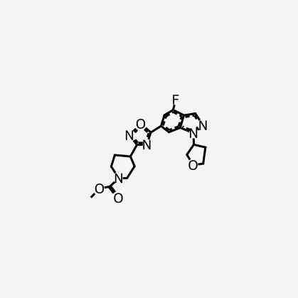 COC(=O)N1CCC(c2noc(-c3cc(F)c4cnn(C5CCOC5)c4c3)n2)CC1